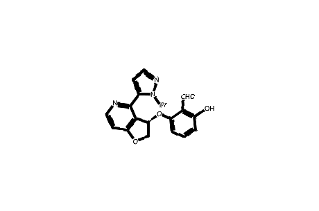 CC(C)n1nccc1-c1nccc2c1[C@@H](Oc1cccc(O)c1C=O)CO2